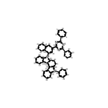 c1ccc(-c2nc(-c3ccccc3)nc(-c3cc(-n4c5ccccc5c5c6c7ccccc7n(-c7ccccc7)c6ccc54)c4ccccc4c3)n2)cc1